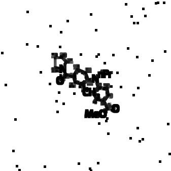 CCCN(c1ccc(C(=O)OC)cc1)c1ccc(C(=O)N2CCCC2)cc1C